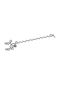 CCCCCCCCCCCCCCCCCCCCOC(=O)CC(O)(CC(=O)O)C(=O)O